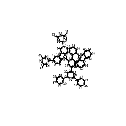 Cc1nc(C)nc(-c2ccc3c(c2)c2cc(-c4nc(C)nc(C)n4)ccc2n3-c2cc(-c3cc(-c4ccccc4)nc(-c4ccccc4)n3)ccc2-c2ccccc2-n2c3ccccc3c3ccccc32)n1